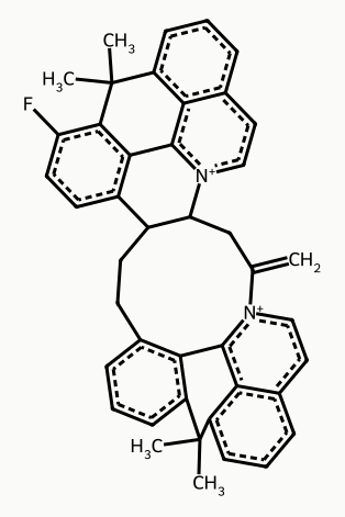 C=C1CC2C(CCc3cccc4c3-c3c5c(cccc5cc[n+]31)C4(C)C)c1ccc(F)c3c1-c1c4c(cccc4cc[n+]12)C3(C)C